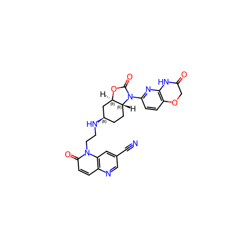 N#Cc1cnc2ccc(=O)n(CCN[C@@H]3CC[C@@H]4[C@@H](C3)OC(=O)N4c3ccc4c(n3)NC(=O)CO4)c2c1